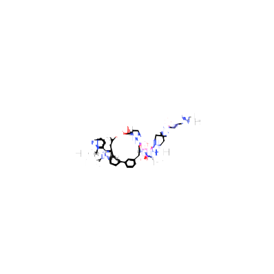 CO[C@@H](C)c1ncccc1-c1c2c3cc(ccc3n1CC(F)(F)F)-c1cccc(c1)C[C@H](NC(=O)[C@H](C(C)C)N(C)C(=O)N1CCC3(CC1)CN(C(=O)/C=C/CN(C)C)C3)C(=O)N1CCC[C@H](N1)C(=O)OCC(C)(C)C2